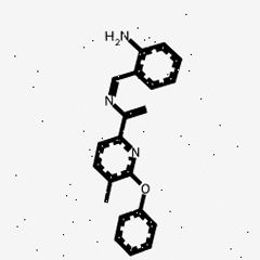 C=C(/N=C\c1ccccc1N)c1ccc(C)c(Oc2ccccc2)n1